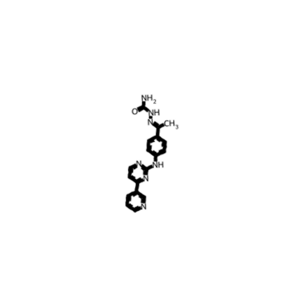 CC(=NNC(N)=O)c1ccc(Nc2nccc(-c3cccnc3)n2)cc1